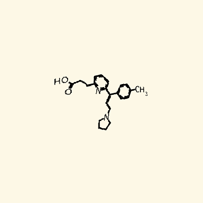 Cc1ccc(/C(=C\CN2CCCC2)c2cccc(CCC(=O)O)n2)cc1